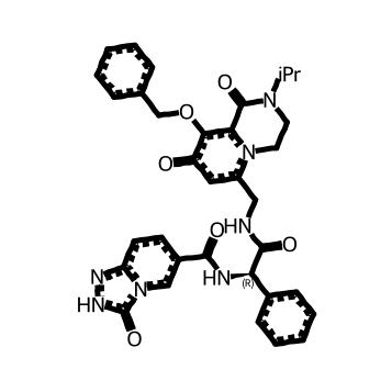 CC(C)N1CCn2c(CNC(=O)[C@H](NC(=O)c3ccc4n[nH]c(=O)n4c3)c3ccccc3)cc(=O)c(OCc3ccccc3)c2C1=O